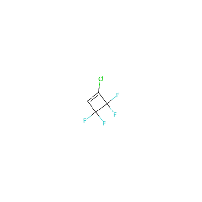 FC1(F)C=C(Cl)C1(F)F